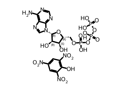 Nc1ncnc2c1ncn2[C@@H]1O[C@H](COP(=O)(O)OP(=O)(O)OP(=O)(O)O)[C@@H](O)[C@H]1O.O=[N+]([O-])c1cc([N+](=O)[O-])c(O)c([N+](=O)[O-])c1